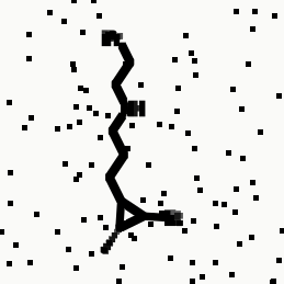 CCC1C(CCCNCCC(C)C)[C@H]1C